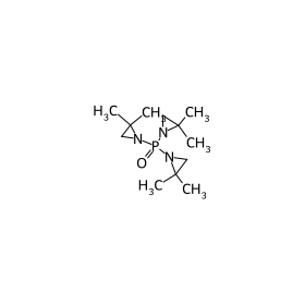 CC1(C)CN1P(=O)(N1CC1(C)C)N1CC1(C)C